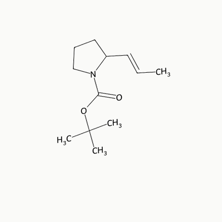 CC=CC1CCCN1C(=O)OC(C)(C)C